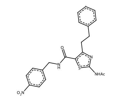 CC(=O)Nc1nc(CCc2cc[c]cc2)c(C(=O)NCc2ccc([N+](=O)[O-])cc2)s1